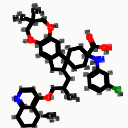 C[C@@H](COc1ccnc2c1[C@H](C)CCC2)C[C@H]1Cc2cc3c(cc2C12CCC(Nc1cccc(Cl)c1)(C(=O)O)CC2)OCC(C)(C)CO3